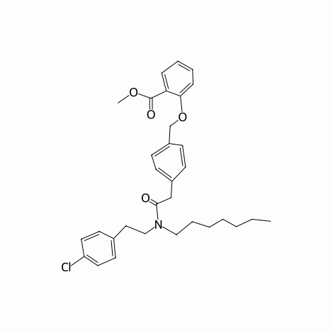 CCCCCCCN(CCc1ccc(Cl)cc1)C(=O)Cc1ccc(COc2ccccc2C(=O)OC)cc1